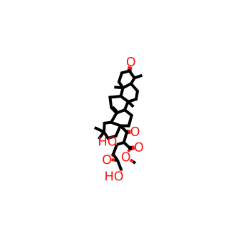 COC(=O)C(C(=O)C12CCC3C(=CCC4C3(C)CCC3C(C)C(=O)CCC34C)C1CC(C)(C)CC2)C(O)C1OC1CO